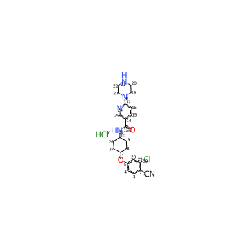 Cl.N#Cc1ccc(O[C@H]2CC[C@H](NC(=O)c3ccc(N4CCNCC4)nc3)CC2)cc1Cl